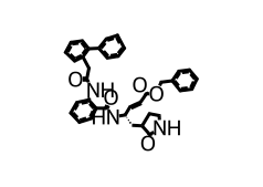 O=C(Cc1ccccc1-c1ccccc1)Nc1ccccc1C(=O)N[C@H](/C=C/C(=O)OCc1ccccc1)CC1CCNC1=O